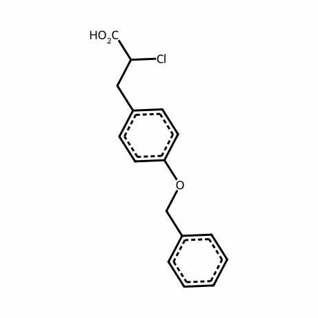 O=C(O)C(Cl)Cc1ccc(OCc2ccccc2)cc1